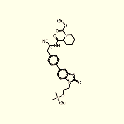 CC(C)(C)OC(=O)N1CCCCC1C(=O)N[C@H](C#N)Cc1ccc(-c2ccc3c(c2)sc(=O)n3CCO[Si](C)(C)C(C)(C)C)cc1